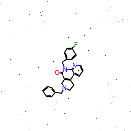 O=c1c2c(c3cccnc3n1Cc1ccc(F)cc1)CCN(Cc1ccccc1)C2